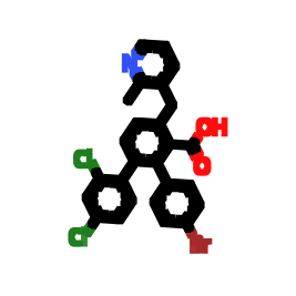 Cc1ncccc1Cc1ccc(-c2ccc(Cl)cc2Cl)c(-c2ccc(Br)cc2)c1C(=O)O